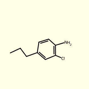 CCCc1ccc(N)c(Cl)c1